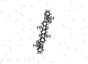 O=C1C=C(Nc2ccc(S(=O)(=O)Nc3ccccn3)cc2)C(=O)C=C1Nc1ccc(S(=O)(=O)Nc2ccccn2)cc1